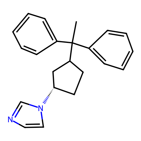 CC(c1ccccc1)(c1ccccc1)C1CC[C@H](n2ccnc2)C1